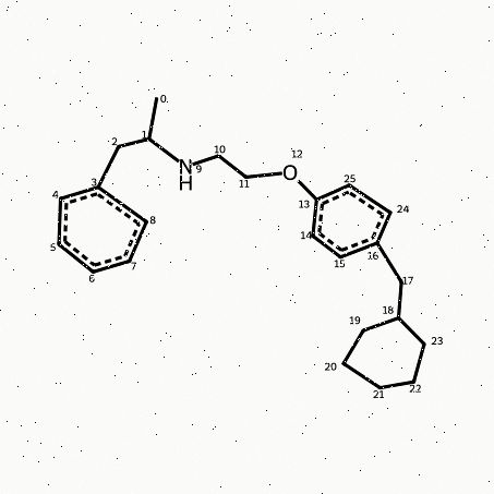 CC(Cc1ccccc1)NCCOc1ccc(CC2CCCCC2)cc1